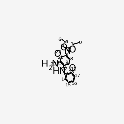 CCON(OCC)C1=CC(=O)C(Nc2ccccc2)=C(N)C1=O